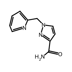 NC(=O)c1ccn(Cc2ccccn2)n1